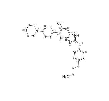 CCCCc1ccc(Oc2nc3nc(-c4ccc(N5CCOCC5)cc4)c(Cl)cc3[nH]2)cc1